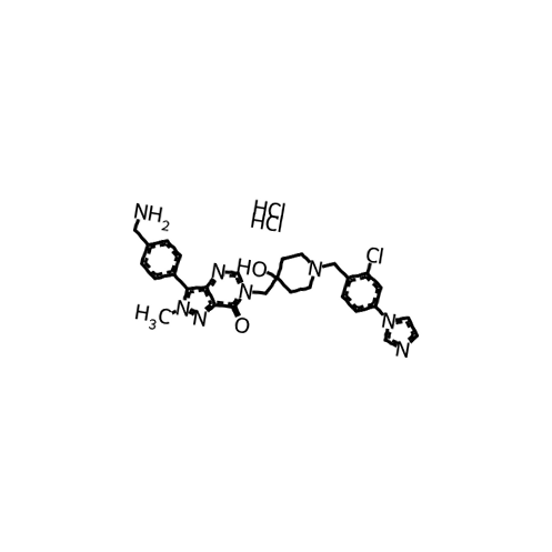 Cl.Cl.Cn1nc2c(=O)n(CC3(O)CCN(Cc4ccc(-n5ccnc5)cc4Cl)CC3)cnc2c1-c1ccc(CN)cc1